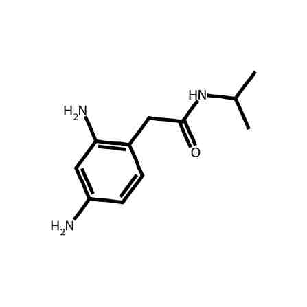 CC(C)NC(=O)Cc1ccc(N)cc1N